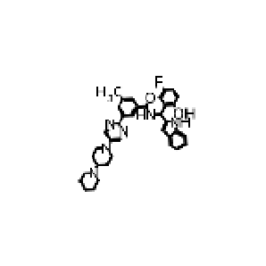 Cc1cc(C(=O)NC(c2cc3ccccc3[nH]2)c2cc(F)ccc2O)cc(-c2ncc(N3CCC(N4CCCCC4)CC3)cn2)c1